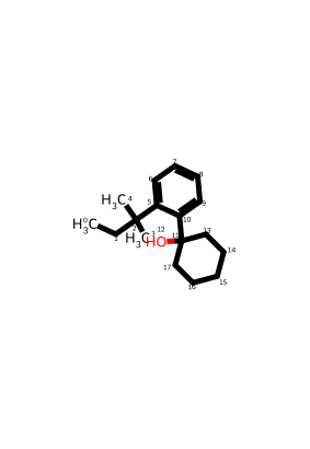 CCC(C)(C)c1ccccc1C1(O)CCCCC1